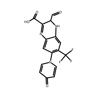 O=CC1Nc2cc(C(F)(F)F)c(-n3ccc(=O)cc3)cc2N=C1C(=O)O